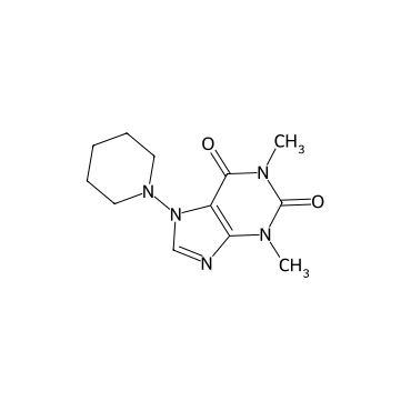 Cn1c(=O)c2c(ncn2N2CCCCC2)n(C)c1=O